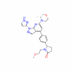 COCCN1C(=O)CCC1c1ccc(-c2cc(N3CCOC[C@H]3C)nc3c2cnn3-c2cc[nH]n2)cc1